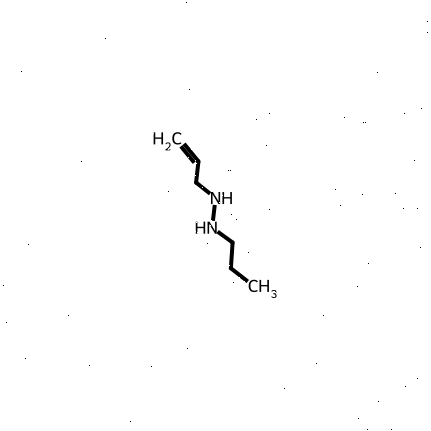 C=CCNNCCC